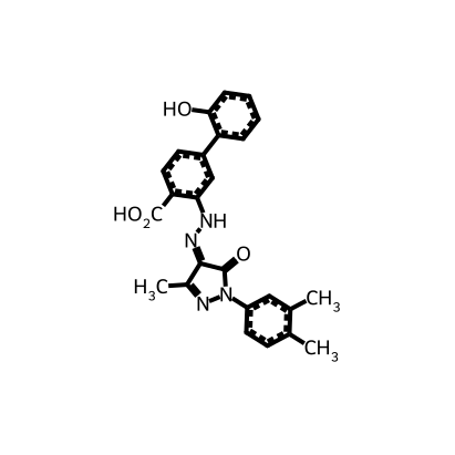 CC1=NN(c2ccc(C)c(C)c2)C(=O)/C1=N\Nc1cc(-c2ccccc2O)ccc1C(=O)O